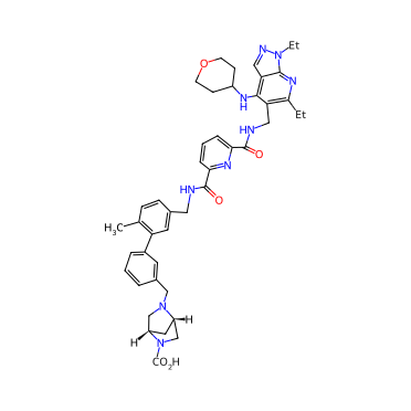 CCc1nc2c(cnn2CC)c(NC2CCOCC2)c1CNC(=O)c1cccc(C(=O)NCc2ccc(C)c(-c3cccc(CN4C[C@@H]5C[C@H]4CN5C(=O)O)c3)c2)n1